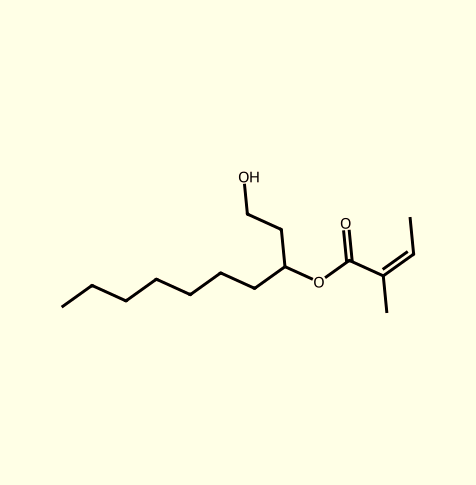 CC=C(C)C(=O)OC(CCO)CCCCCCC